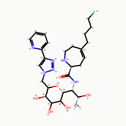 C[C@@H](O)[C@@H](NC(=O)[C@@H]1CC=C(CCCCF)CCN1)[C@H]1OC(Cn2cc(-c3ccccn3)nn2)[C@H](O)C(O)C1O